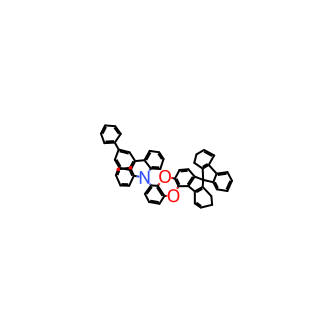 C1=CC2=C(CC1)C1(C3=C(C=CCC3)c3c1ccc1c3Oc3cccc(N(c4ccccc4)c4ccccc4-c4cccc(-c5ccccc5)c4)c3O1)c1ccccc12